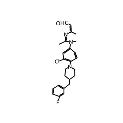 CC(=C/C=O)/N=C(/C)N(C)c1ccc(N2CCC(Cc3cccc(F)c3)CC2)c(Cl)c1